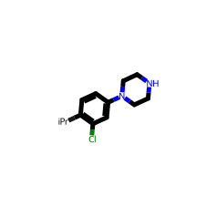 CC(C)c1ccc(N2CCNCC2)cc1Cl